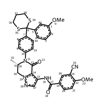 COc1cccc(C2(c3ccc(N4C(=O)c5c(NC(=O)c6ccc(OC)c(C#N)c6)cnn5C[C@@H]4C)cc3)SCCCS2)c1